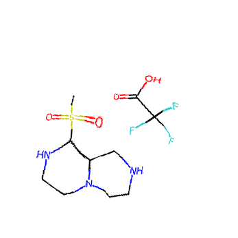 CS(=O)(=O)C1NCCN2CCNCC12.O=C(O)C(F)(F)F